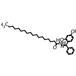 CCCCCCCCCCCCCCCCCC(=O)NN=C(c1ccccc1)c1ccc(O)cc1O